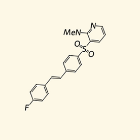 CNc1ncccc1S(=O)(=O)c1ccc(C=Cc2ccc(F)cc2)cc1